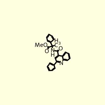 COC(=O)C(C)(NC(=O)c1cc(-c2ccccc2)nc2ccccc12)c1ccccc1